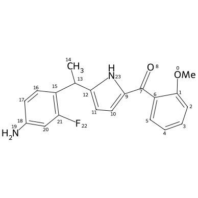 COc1ccccc1C(=O)c1ccc(C(C)c2ccc(N)cc2F)[nH]1